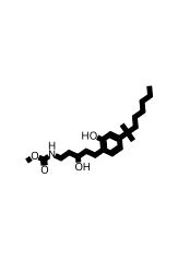 CCCCCCC(C)(C)c1ccc(CCC(O)CCNC(=O)OC)c(O)c1